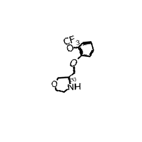 FC(F)(F)Oc1[c]cccc1OC[C@@H]1COCCN1